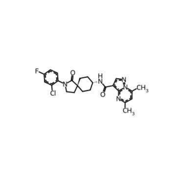 Cc1cc(C)n2ncc(C(=O)N[C@H]3CC[C@]4(CCN(c5ccc(F)cc5Cl)C4=O)CC3)c2n1